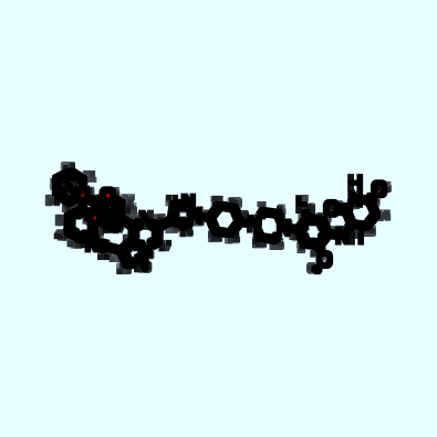 COc1cc(N2CCN(C3CCC(n4cc(-c5cn6ncc(C#N)c6c(-c6ccc(N7CC8CC(C7)N8Cc7ccccc7S(C)(=O)=O)nc6)n5)cn4)CC3)CC2)c(F)cc1NC1CCC(=O)NC1=O